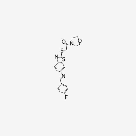 O=C(CSc1nc2ccc(/N=C/c3ccc(F)cc3)cc2s1)N1CCOCC1